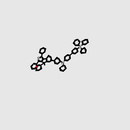 CC1(c2ccccc2)c2cc(-c3ccc(N(c4ccccc4)c4ccc(-c5ccc(S(c6ccccc6)(c6ccccc6)c6ccccc6)cc5)cc4)cc3)ccc2-c2c(-c3ccccc3)sc(-c3ccccc3)c21